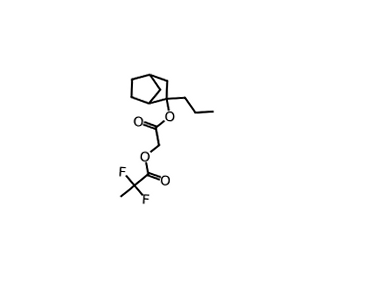 CCCC1(OC(=O)COC(=O)C(C)(F)F)CC2CCC1C2